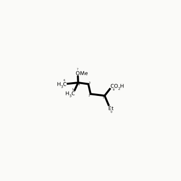 CCC(CCC(C)(C)OC)C(=O)O